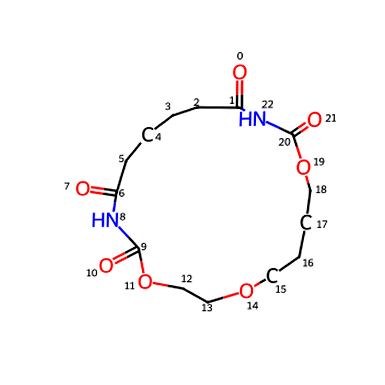 O=C1CCCCC(=O)NC(=O)OCCOCCCCOC(=O)N1